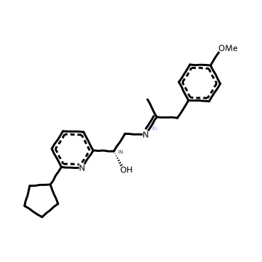 COc1ccc(C/C(C)=N/C[C@H](O)c2cccc(C3CCCC3)n2)cc1